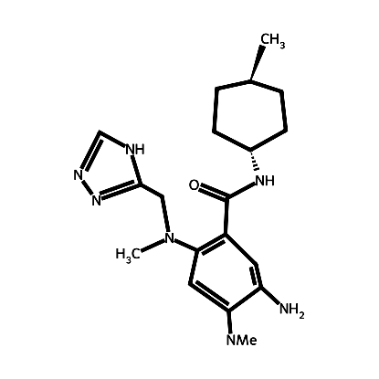 CNc1cc(N(C)Cc2nnc[nH]2)c(C(=O)N[C@H]2CC[C@H](C)CC2)cc1N